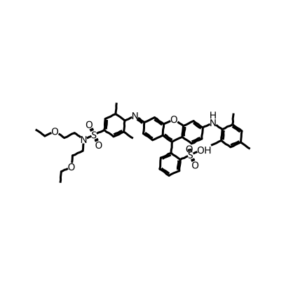 CCOCCN(CCOCC)S(=O)(=O)C1=CC(C)C(/N=c2\ccc3c(-c4ccccc4S(=O)(=O)O)c4ccc(Nc5c(C)cc(C)cc5C)cc4oc-3c2)C(C)=C1